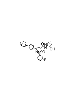 O=C(N[C@H]1COCC1O)c1cc(-c2ccc(N3CCOCC3)cc2)nn(-c2cccc(F)c2)c1=O